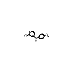 COc1ccc(Nc2ccnc(Cl)c2)cc1